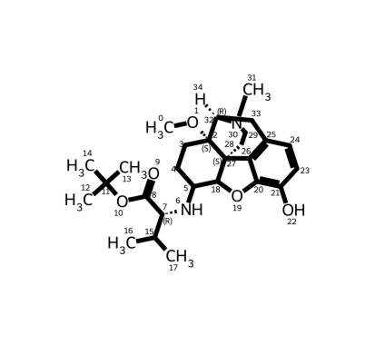 CO[C@@]12CCC(N[C@@H](C(=O)OC(C)(C)C)C(C)C)C3Oc4c(O)ccc5c4[C@@]31CCN(C)[C@@H]2C5